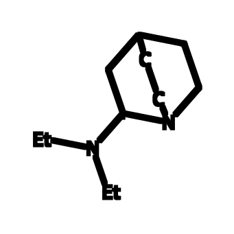 CCN(CC)[C]1CC2CCN1CC2